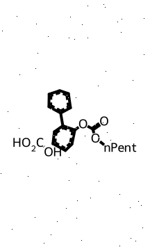 CCCCCOC(=O)Oc1ccccc1-c1ccccc1.O=C(O)O